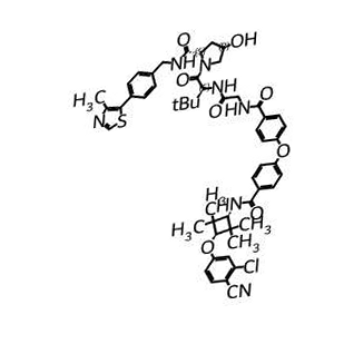 Cc1ncsc1-c1ccc(CNC(=O)[C@@H]2C[C@@H](O)CN2C(=O)[C@@H](NC(=O)CNC(=O)c2ccc(Oc3ccc(C(=O)N[C@H]4C(C)(C)[C@H](Oc5ccc(C#N)c(Cl)c5)C4(C)C)cc3)cc2)C(C)(C)C)cc1